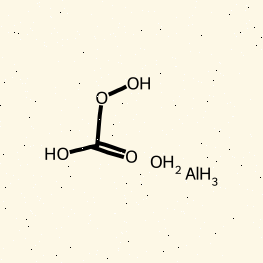 O.O=C(O)OO.[AlH3]